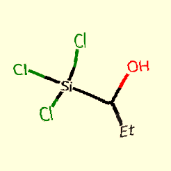 CCC(O)[Si](Cl)(Cl)Cl